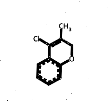 CC1=C(Cl)c2ccccc2OC1